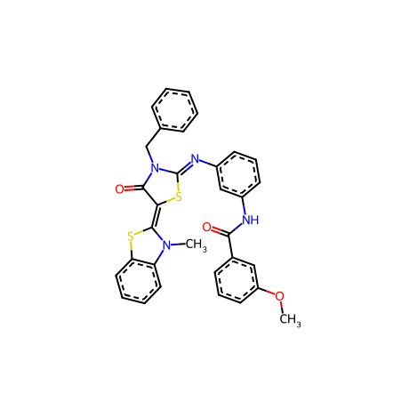 COc1cccc(C(=O)Nc2cccc(N=C3SC(=C4Sc5ccccc5N4C)C(=O)N3Cc3ccccc3)c2)c1